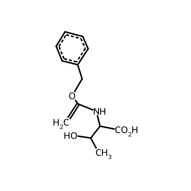 C=C(NC(C(=O)O)C(C)O)OCc1ccccc1